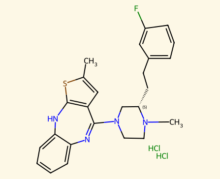 Cc1cc2c(s1)Nc1ccccc1N=C2N1CCN(C)[C@@H](CCc2cccc(F)c2)C1.Cl.Cl